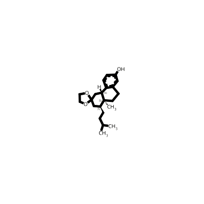 CC(C)CC[C@H]1CC2(C[C@@H]3c4ccc(O)cc4CC[C@@]13C)OCCO2